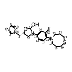 OC1O[C@@H](Cn2cncn2)CN1c1ccc(N2CCCSCCC2)c(F)c1